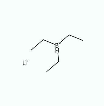 CC[BH-](CC)CC.[Li+]